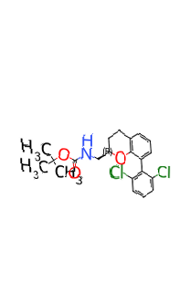 CC(C)(C)OC(=O)NC[C@H]1CCc2cccc(-c3c(Cl)cccc3Cl)c2O1